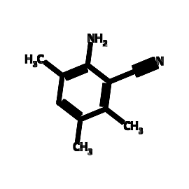 Cc1cc(C)c(N)c(C#N)c1C